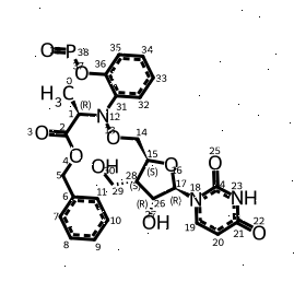 C[C@H](C(=O)OCc1ccccc1)N(OC[C@H]1O[C@@H](n2ccc(=O)[nH]c2=O)[C@H](O)[C@@H]1CO)c1ccccc1OP=O